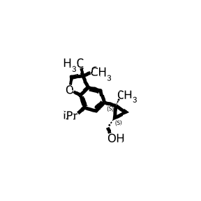 CC(C)c1cc([C@@]2(C)C[C@@H]2CO)cc2c1OCC2(C)C